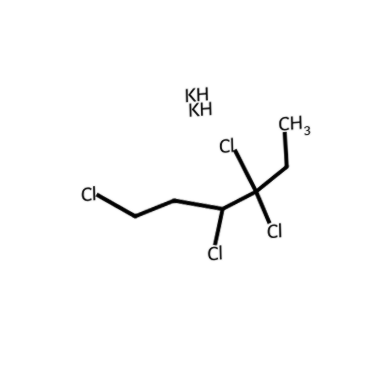 CCC(Cl)(Cl)C(Cl)CCCl.[KH].[KH]